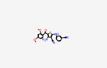 COc1ccc(C(=O)c2sc(Nc3cccc(C#N)c3)c(C#N)c2N)c(OC)c1